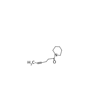 [CH2]C#CCCC(=O)N1CCCCC1